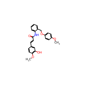 COc1ccc(OCc2ccccc2NC(=O)C=Cc2ccc(OC)c(O)c2)cc1